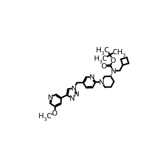 COc1cncc(-c2cn(Cc3ccc(N4CCC[C@@H](N(CC5CCC5)C(=O)OC(C)(C)C)C4)nc3)nn2)c1